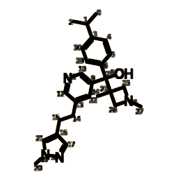 CC(C)c1ccc(C(O)(c2cncc(CCc3cnn(C)c3)c2)C2(C)CN(C)C2)cc1